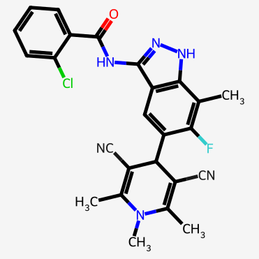 CC1=C(C#N)C(c2cc3c(NC(=O)c4ccccc4Cl)n[nH]c3c(C)c2F)C(C#N)=C(C)N1C